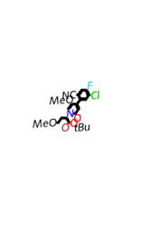 COCCC(C(=O)OC(C)(C)C)n1cc(OC)c(-c2cc(Cl)c(F)cc2C#N)cc1=O